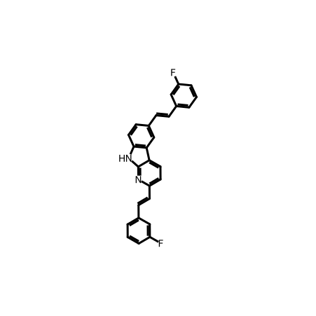 Fc1cccc(C=Cc2ccc3[nH]c4nc(C=Cc5cccc(F)c5)ccc4c3c2)c1